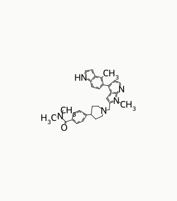 Cc1c(-c2ccnc3c2cc(CN2CCC(c4ccc(C(=O)N(C)C)cc4)CC2)n3C)ccc2[nH]ccc12